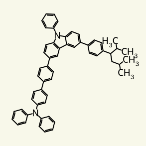 CC(C)CC(c1ccc(-c2ccc3c(c2)c2cc(-c4ccc(-c5ccc(N(c6ccccc6)c6ccccc6)cc5)cc4)ccc2n3-c2ccccc2)cc1)C(C)C